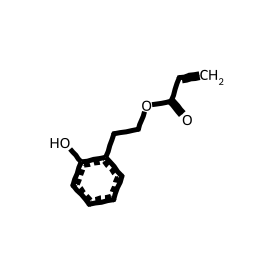 C=CC(=O)OCCc1ccccc1O